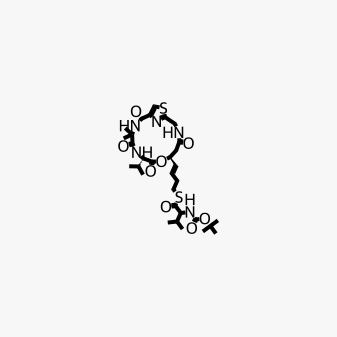 CC(C)C(NC(=O)OC(C)(C)C)C(=O)SCCC=C[C@@H]1CC(=O)NCc2nc(cs2)C(=O)NC(C)(C)C(=O)N[C@@H](C(C)C)C(=O)O1